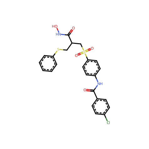 O=C(Nc1ccc(S(=O)(=O)CC(CSc2ccccc2)C(=O)NO)cc1)c1ccc(Cl)cc1